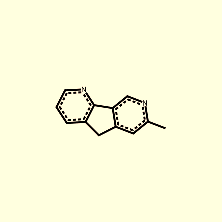 Cc1cc2c(cn1)-c1ncccc1C2